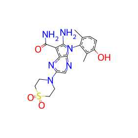 Cc1ccc(O)c(C)c1-n1c(N)c(C(N)=O)c2nc(N3CCS(=O)(=O)CC3)cnc21